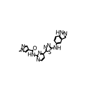 Cn1cc(C(=O)Nc2nccc(-c3nnc(Nc4ccc5[nH]ncc5c4)s3)n2)cn1